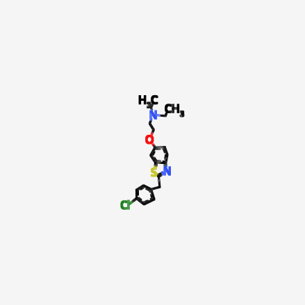 CCN(CC)CCOc1ccc2nc(Cc3ccc(Cl)cc3)sc2c1